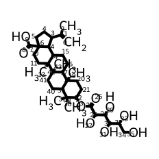 C=C(C)C1CCC2(C(=O)O)CCC3(C)C(CCC4C5(C)CCC(OC(=O)C(O)C(O)C(O)C(O)CO)C(C)(C)C5CCC43C)C12